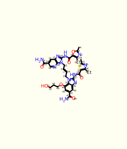 CCc1nc(C)oc1C(=O)Nc1nc2cc(C(N)=O)cnc2n1C/C=C/Cn1c(NC(=O)c2sc(C)nc2CC)nc2cc(C(N)=O)cc(OCCCO)c21